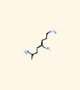 CC(N)CCC(N)CCCN